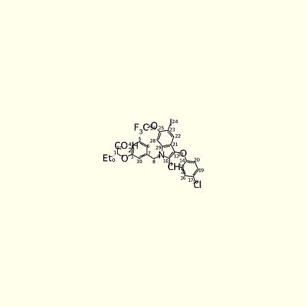 CC[C@@H](Oc1cccc(Cn2c(C)c(Oc3ccc(Cl)cc3)c3cc(I)c(OC(F)(F)F)cc32)c1)C(=O)O